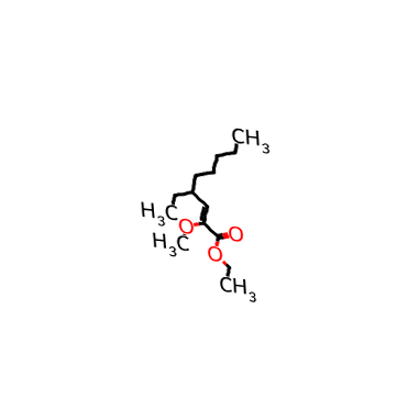 CCCCCC(C=C(OC)C(=O)OCC)CC